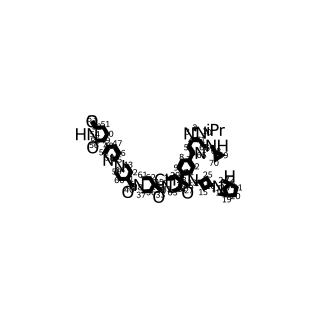 CC(C)n1cnc2cc(-c3ccc4c(c3)N(C3CC(N5CC6CC[C@@H](C6)C5)C3)C(=O)C43CCN(C(=O)C4(C)CCN(C(=O)C5CCN(c6ccc([C@H]7CCC(=O)NC7=O)cn6)CC5)CC4)CC3)nc(NC3CC3)c21